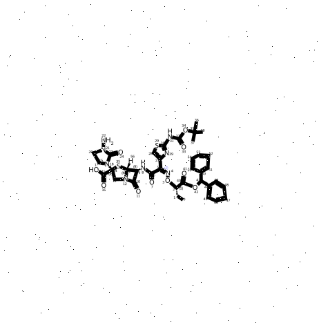 CC[C@H](O/N=C(\C(=O)N[C@@H]1C(=O)N2C[C@@](C(=O)O)(N3CCN(N)C3=O)S[C@H]12)c1csc(NC(=O)OC(C)(C)C)n1)C(=O)OC(c1ccccc1)c1ccccc1